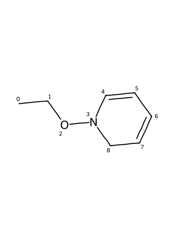 CCON1C=CC=CC1